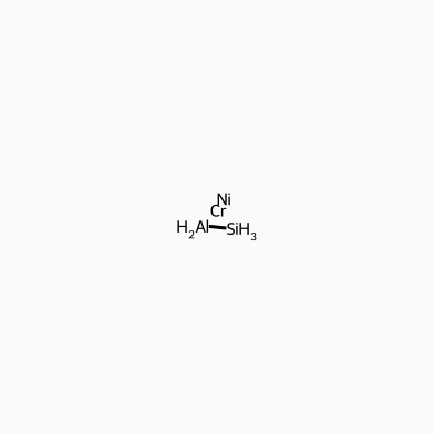 [AlH2][SiH3].[Cr].[Ni]